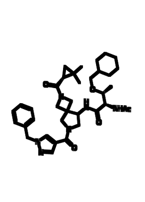 CC(=O)N[C@@H](C(=O)NC1CN(C(=O)c2cnn(Cc3ccccc3)c2)CC12CN(C(=O)[C@H]1CC1(C)C)C2)[C@H](C)OCC1CCCCC1